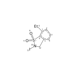 CCc1cccc2c1S(=O)(=O)N(I)C2